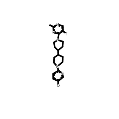 Cc1ncc(F)c(N2CCC(C3CCN(c4ccc(Cl)cn4)CC3)CC2)n1